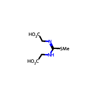 CSC(=NCC(=O)O)NCC(=O)O